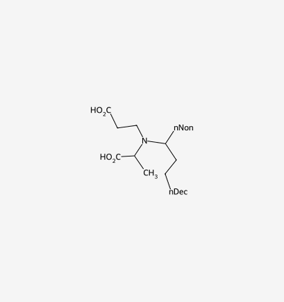 CCCCCCCCCCCCC(CCCCCCCCC)N(CCC(=O)O)C(C)C(=O)O